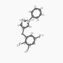 Fc1[c]c(F)c(F)c(Cc2cnn(-c3ccccc3)c2)c1